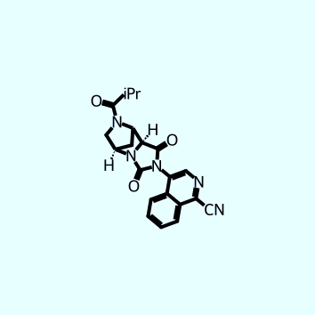 CC(C)C(=O)N1C[C@H]2CC1[C@H]1C(=O)N(c3cnc(C#N)c4ccccc34)C(=O)N21